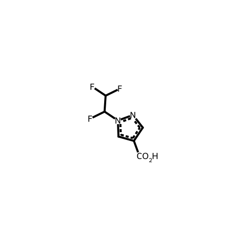 O=C(O)c1cnn(C(F)C(F)F)c1